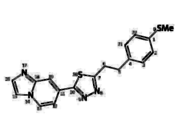 CSc1ccc(CCc2nnc(-c3ccn4ccnc4c3)s2)cc1